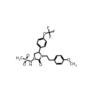 COc1ccc(CCN2C(=O)N(NS(C)(=O)=O)CC2c2ccc(OC(F)(F)F)cc2)cc1